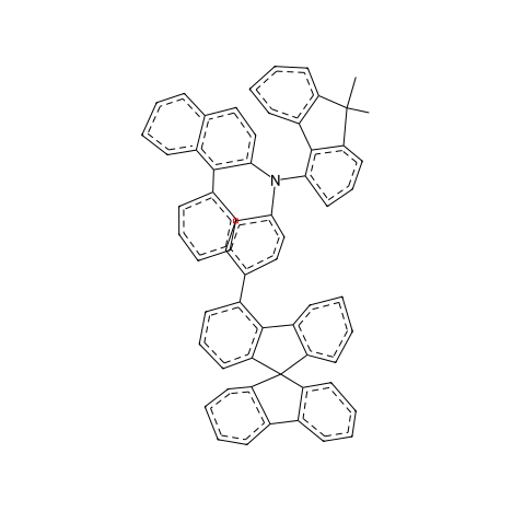 CC1(C)c2ccccc2-c2c(N(c3ccc(-c4cccc5c4-c4ccccc4C54c5ccccc5-c5ccccc54)cc3)c3ccc4ccccc4c3-c3ccccc3)cccc21